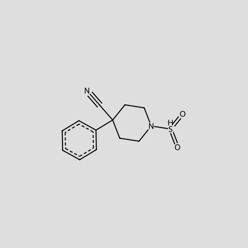 N#CC1(c2ccccc2)CCN([SH](=O)=O)CC1